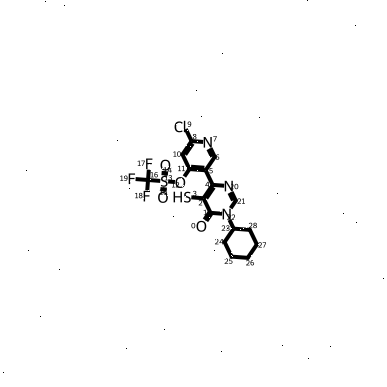 O=c1c(S)c(-c2cnc(Cl)cc2OS(=O)(=O)C(F)(F)F)ncn1C1CCCCC1